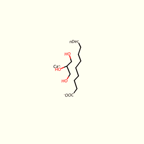 CCCCCCCCCCCCCCCCCC(=O)[O-].OCC(O)CO.[Ca+]